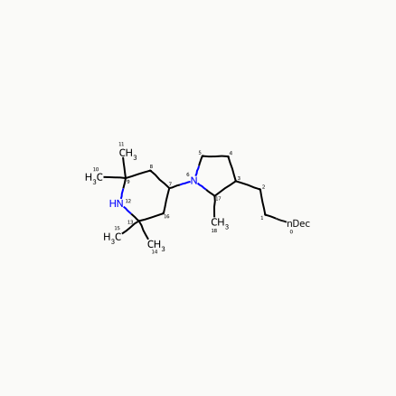 CCCCCCCCCCCCC1CCN(C2CC(C)(C)NC(C)(C)C2)C1C